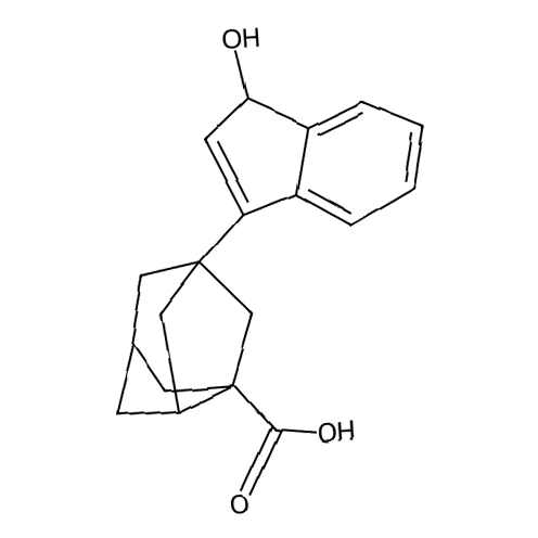 O=C(O)C12CC3CC1CC(C1=CC(O)c4ccccc41)(C3)C2